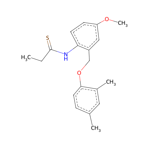 CCC(=S)Nc1ccc(OC)cc1COc1ccc(C)cc1C